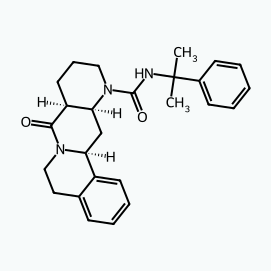 CC(C)(NC(=O)N1CCC[C@@H]2C(=O)N3CCc4ccccc4[C@@H]3C[C@@H]21)c1ccccc1